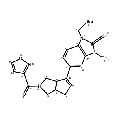 Cn1c(=O)n(CC(C)(C)C)c2ccc(C3=CCC4CN(C(=O)c5ccon5)CC34)nc21